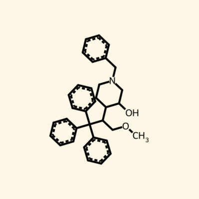 COCC(C1CCN(Cc2ccccc2)CC1O)C(c1ccccc1)(c1ccccc1)c1ccccc1